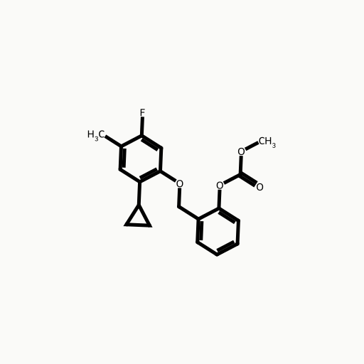 COC(=O)Oc1ccccc1COc1cc(F)c(C)cc1C1CC1